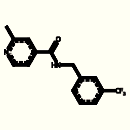 Cc1cc(C(=O)NCc2cccc(C(F)(F)F)c2)ccn1